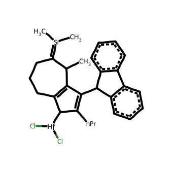 CCCC1=C(C2c3ccccc3-c3ccccc32)C2=C(CCCC(=[Si](C)C)C2C)[CH]1[Hf]([Cl])[Cl]